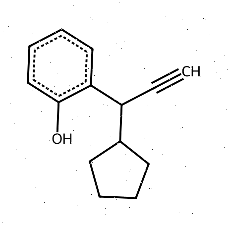 C#CC(c1ccccc1O)C1CCCC1